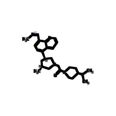 C/N=C\c1ccc([C@@H]2C[C@@H](C)CN(CC(=O)N3CCC(N(C)C)CC3)C2)c2cccnc12